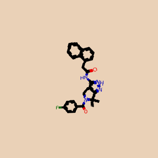 CC1(C)c2n[nH]c(NC(=O)Cc3cccc4ccccc34)c2CN1C(=O)c1ccc(F)cc1